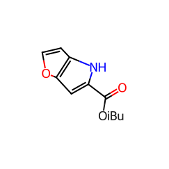 CC(C)COC(=O)c1cc2occc2[nH]1